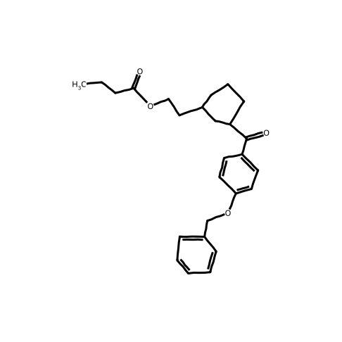 CCCC(=O)OCCC1CCCC(C(=O)c2ccc(OCc3ccccc3)cc2)C1